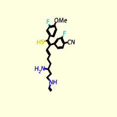 C=CNCCC(N)CC/C=C/C(=C(\S)c1ccc(OC)c(F)c1)c1ccc(C#N)c(F)c1